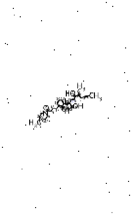 CC#CC[C@H](C)[C@H](O)/C=C/[C@@H]1[C@H]2c3cccc(CCCC(=O)N4CCN(C)CC4)c3O[C@H]2C[C@H]1O